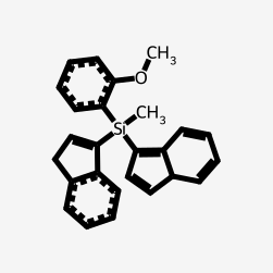 COc1ccccc1[Si](C)(C1=CCc2ccccc21)C1=C2C=CC=CC2C=C1